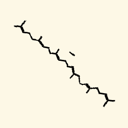 CC.CC(C)=CCC/C(C)=C/CC/C(C)=C/CC/C=C(\C)CC/C=C(\C)CCC=C(C)C